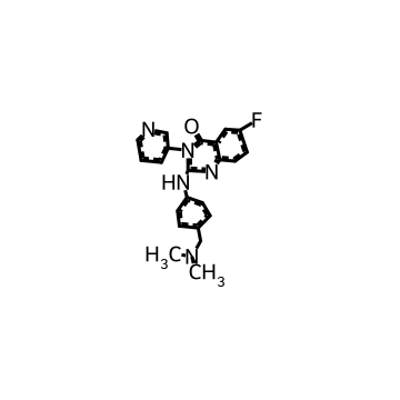 CN(C)Cc1ccc(Nc2nc3ccc(F)cc3c(=O)n2-c2cccnc2)cc1